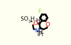 CC(C)N1CCO[C@H]2c3cc(F)ccc3OCC[C@@H]21.CS(=O)(=O)O